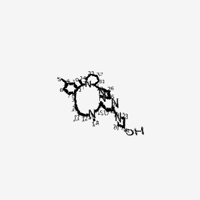 C=C1c2cc(C)ccc2CCCCN(C)Cc2cc(N3CC(O)C3)nc3cc(nn23)C2CCCCN12